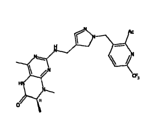 CC(=O)c1nc(C(F)(F)F)ccc1CN1CC(CNc2nc(C)c3c(n2)N(C)[C@@H](C)C(=O)N3)=C=N1